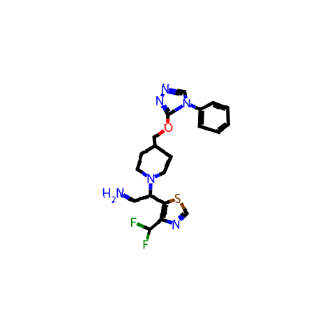 NCC(c1scnc1C(F)F)N1CCC(COc2nncn2-c2ccccc2)CC1